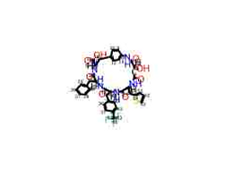 O=C1C[C@@H](O)C(=O)Nc2ccc(cc2)C[C@@H](C(=O)O)NC(=O)[C@@H](Cc2ccccc2)NC(=O)[C@H](Cc2ccc(C(F)(F)F)cc2)NC(=O)[C@@H](Cc2cccs2)N1